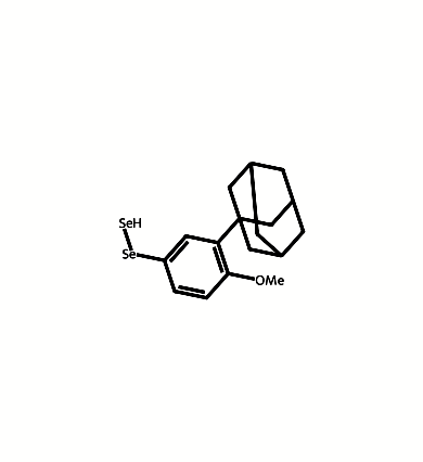 COc1ccc([Se][SeH])cc1C12CC3CC(CC(C3)C1)C2